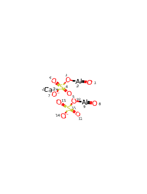 [Ca+2].[O]=[Al][O]S(=O)(=O)[O-].[O]=[Al][O]S(=O)(=O)[O-]